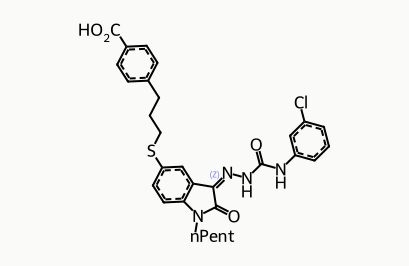 CCCCCN1C(=O)/C(=N\NC(=O)Nc2cccc(Cl)c2)c2cc(SCCCc3ccc(C(=O)O)cc3)ccc21